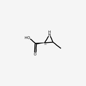 CC1N[C@@H]1C(=O)O